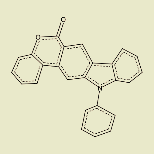 O=c1oc2ccccc2c2cc3c(cc12)c1ccccc1n3-c1ccccc1